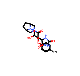 N#Cc1ccc(OCC(O)CN2C3CCC2CN(C(=O)CC2NC(=O)NC2=O)C3)cc1